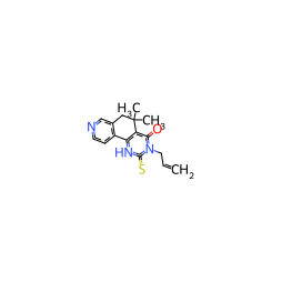 C=CCn1c(=S)[nH]c2c(c1=O)C(C)(C)Cc1cnccc1-2